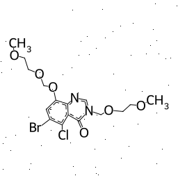 COCCOCOc1cc(Br)c(Cl)c2c(=O)n(COCCOC)cnc12